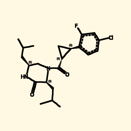 CC(C)C[C@H]1CN(C(=O)[C@@H]2C[C@H]2c2ccc(Cl)cc2F)[C@@H](CC(C)C)C(=O)N1